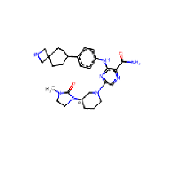 CN1CCN([C@@H]2CCCN(c3cnc(C(N)=O)c(Nc4ccc(C5CCC6(CC5)CNC6)cc4)n3)C2)C1=O